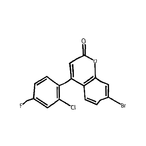 O=c1cc(-c2ccc(F)cc2Cl)c2ccc(Br)cc2o1